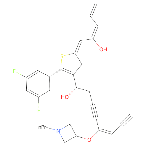 C#C/C=C(\C#CC[C@H](O)C1=C([C@H]2C=C(F)C=C(F)C2)S/C(=C/C(O)=C\C=C)C1)OC1CN(CCC)C1